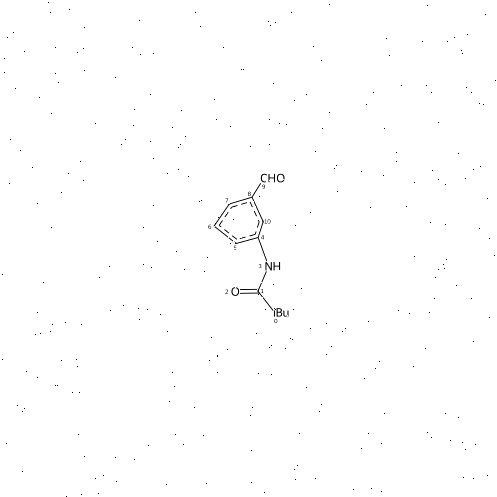 CCC(C)C(=O)Nc1cccc(C=O)c1